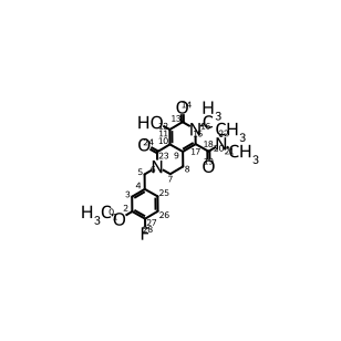 COc1cc(CN2CCc3c(c(O)c(=O)n(C)c3C(=O)N(C)C)C2=O)ccc1F